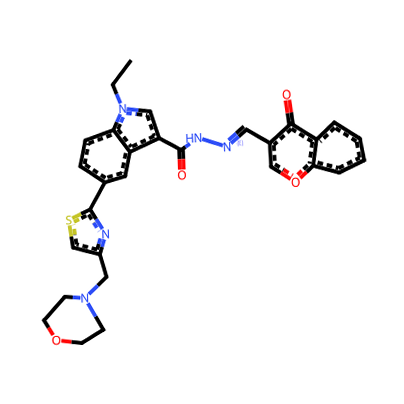 CCn1cc(C(=O)N/N=C/c2coc3ccccc3c2=O)c2cc(-c3nc(CN4CCOCC4)cs3)ccc21